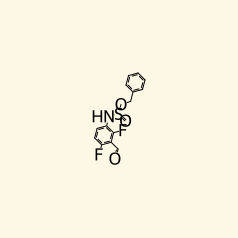 O=Cc1c(F)ccc(NS(=O)OCc2ccccc2)c1F